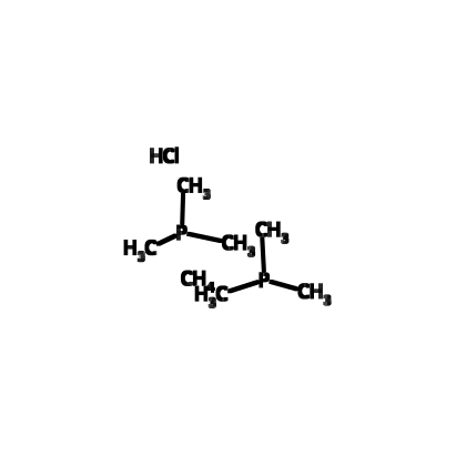 C.CP(C)C.CP(C)C.Cl